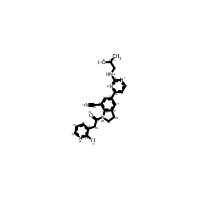 CC(O)CNc1nccc(-c2cc(C#N)c3c(c2)CCN3C(=O)Cc2cccnc2Cl)n1